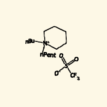 CCCCC[N+]1(CCCC)CCCCC1.O=S(=O)([O-])C(F)(F)F